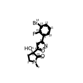 CN1CC[C@@](O)(c2cc(-c3cccc(Br)c3F)no2)C1=O